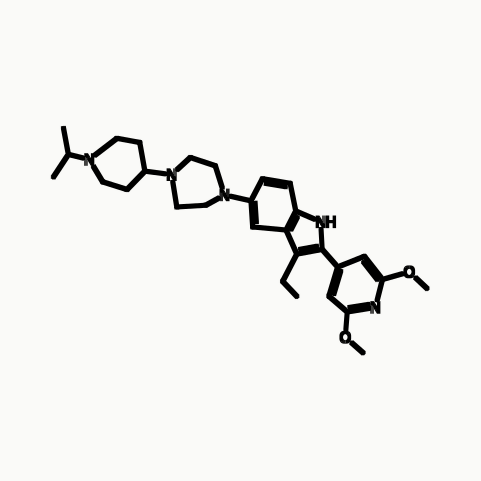 CCc1c(-c2cc(OC)nc(OC)c2)[nH]c2ccc(N3CCN(C4CCN(C(C)C)CC4)CC3)cc12